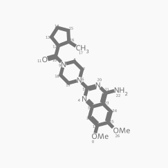 COc1cc2nc(N3CCN(C(=O)C4CCCC4C)CC3)nc(N)c2cc1OC